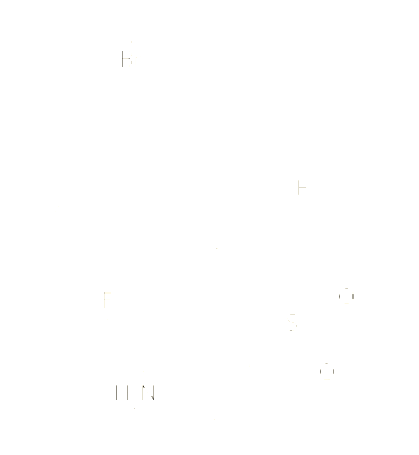 CC1(C)C(N)=CC(CF)(c2cc(Br)ccc2F)CS1(=O)=O